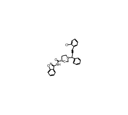 O=C(Nc1noc2ccccc12)N1CCN(C(C#Cc2ccccc2Cl)c2ccccc2)CC1